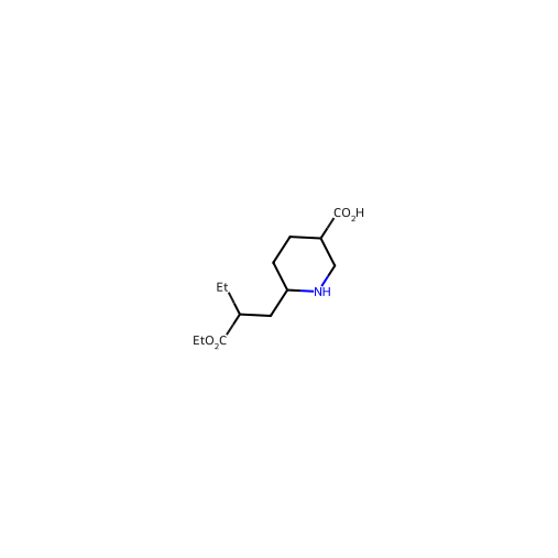 CCOC(=O)C(CC)CC1CCC(C(=O)O)CN1